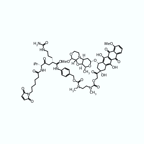 COc1cccc2c1C(=O)c1c(O)c3c(c(O)c1C2=O)C[C@@](O)(C(=O)COC(=O)N(C)CCN(C)C(=O)OCc1ccc(NC(=O)[C@@H](CCCNC(N)=O)CC(=O)[C@H](NC(=O)CCCCCN2C(=O)C=CC2=O)C(C)C)cc1)C[C@@H]3O[C@H]1C[C@H]2[C@H](O[C@@H]3[C@@H](OC)OCCN32)[C@H](C)O1